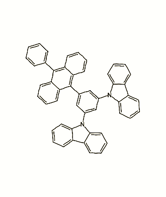 c1ccc(-c2c3ccccc3c(-c3cc(-n4c5ccccc5c5ccccc54)cc(-n4c5ccccc5c5ccccc54)c3)c3ccccc23)cc1